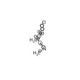 COCc1cc(N2CCC(N(C)N3CCN(S(=O)(=O)c4ccc5cc(Cl)ccc5c4)CC3=O)CC2)ccn1